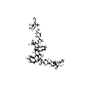 COc1ccccc1-c1cc(Sc2cc(-c3ccccc3OC)c(/C=C/C(=O)N3CCC(N4CCC5(CC4)NC(=O)NC5=O)CC3)c(Cl)c2Cl)c(Cl)c(Cl)c1/C=C/C(=O)N1CCC(N2CCC3(CC2)NC(=O)NC3=O)CC1